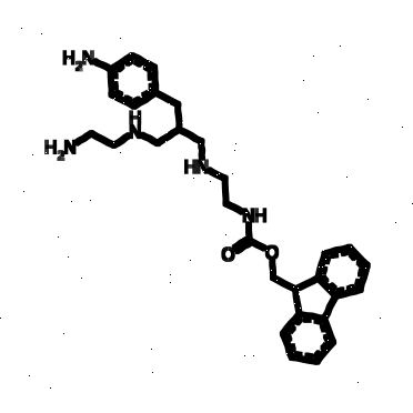 NCCNCC(CNCCNC(=O)OCC1c2ccccc2-c2ccccc21)Cc1ccc(N)cc1